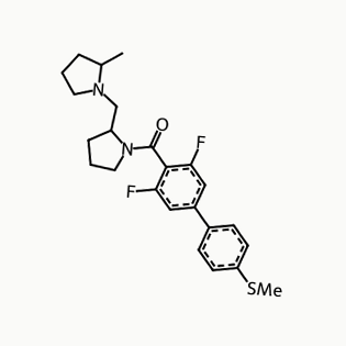 CSc1ccc(-c2cc(F)c(C(=O)N3CCCC3CN3CCCC3C)c(F)c2)cc1